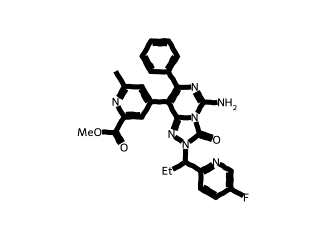 CCC(c1ccc(F)cn1)n1nc2c(-c3cc(C)nc(C(=O)OC)c3)c(-c3ccccc3)nc(N)n2c1=O